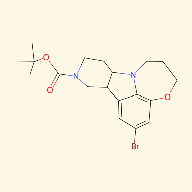 CC(C)(C)OC(=O)N1CCC2C(C1)c1cc(Br)cc3c1N2CCCO3